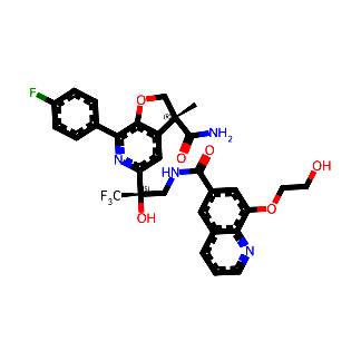 C[C@]1(C(N)=O)COc2c1cc([C@@](O)(CNC(=O)c1cc(OCCO)c3ncccc3c1)C(F)(F)F)nc2-c1ccc(F)cc1